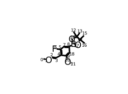 CO/C=C/c1c(F)cc(B2OC(C)(C)C(C)(C)O2)cc1OC